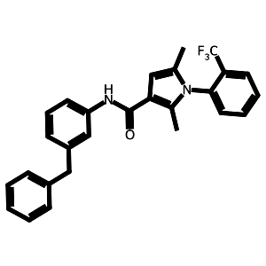 Cc1cc(C(=O)Nc2cccc(Cc3ccccc3)c2)c(C)n1-c1ccccc1C(F)(F)F